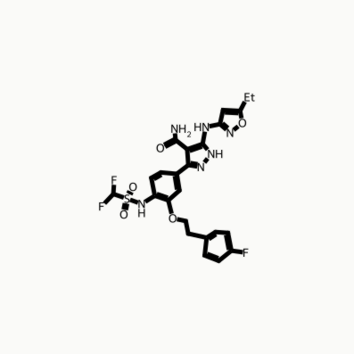 CCc1cc(Nc2[nH]nc(-c3ccc(NS(=O)(=O)C(F)F)c(OCCc4ccc(F)cc4)c3)c2C(N)=O)no1